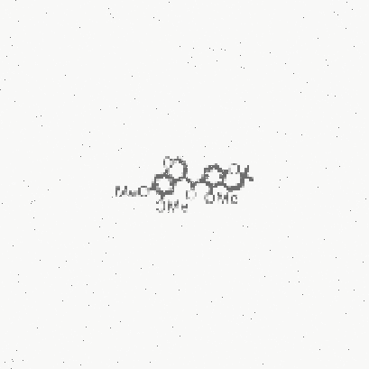 COc1cc2c(cc1OC)C(C(=O)c1ccc3c(c1OC)C=CC(C)(C)O3)=CCO2